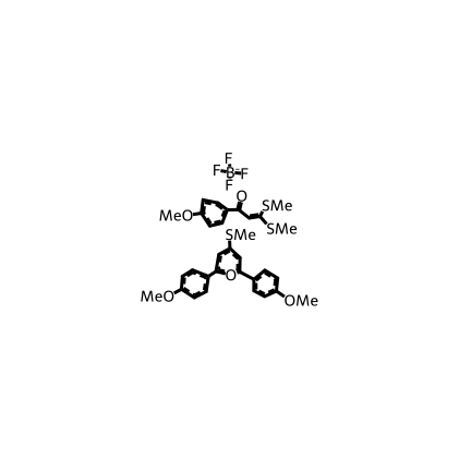 COc1ccc(-c2cc(SC)cc(-c3ccc(OC)cc3)[o+]2)cc1.COc1ccc(C(=O)C=C(SC)SC)cc1.F[B-](F)(F)F